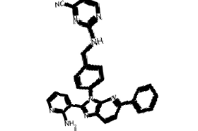 N#Cc1ccnc(NCc2ccc(-n3c(-c4cccnc4N)nc4ccc(-c5ccccc5)nc43)cc2)n1